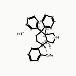 COc1ccccc1[C@]1(F)CCC(c2ccccc2)(c2ccccc2)[C@H]2CNC[C@H]21.Cl